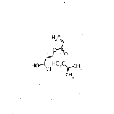 C=C(C)C(=O)O.C=CC(=O)OCCC(O)Cl